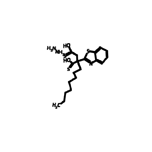 CCCCCCCCC(CC(O)=S)(C(O)=S)c1nc2ccccc2s1.N.N